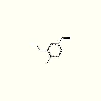 BCc1cc(C=C)ccc1C